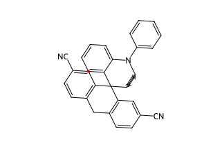 N#Cc1ccc2c(c1)C1(c3cc(C#N)ccc3C2)c2ccccc2N(c2ccccc2)c2ccccc21